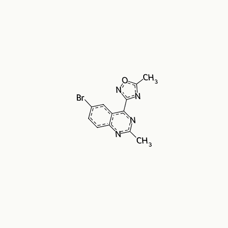 Cc1nc(-c2noc(C)n2)c2cc(Br)ccc2n1